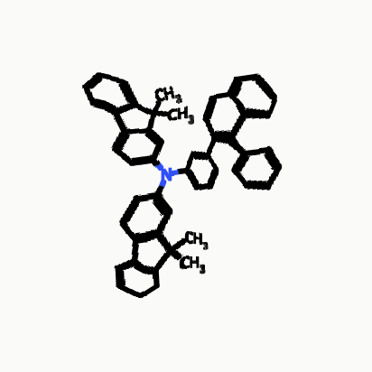 CC1(C)C2=C(C=CCC2)c2ccc(N(c3cccc(-c4ccc5ccccc5c4-c4ccccc4)c3)c3ccc4c(c3)C(C)(C)c3ccccc3-4)cc21